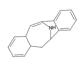 C1=CC2C=C3NC(CC2C=C1)c1ccccc13